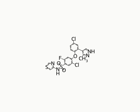 Cc1n[nH]cc1-c1cc(Cl)ccc1Oc1cc(F)c(S(=O)(=O)Nc2cscn2)cc1Cl